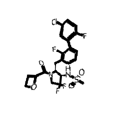 CS(=O)(=O)N[C@@H]1[C@H](Cc2cccc(-c3cc(Cl)ccc3F)c2F)N(C(=O)C2CCO2)CC1(F)F